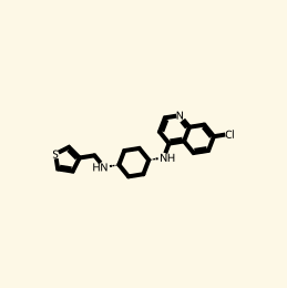 Clc1ccc2c(N[C@H]3CC[C@@H](NCc4ccsc4)CC3)ccnc2c1